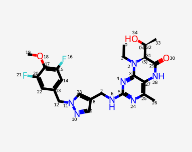 CCN1c2nc(NCc3cnn(Cc4cc(F)c(OC)c(F)c4)c3)nc(C)c2NC(=O)[C@@H]1[C@H](C)O